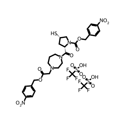 O=C(CN1CCCN(C(=O)[C@@H]2C[C@H](S)CN2C(=O)OCc2ccc([N+](=O)[O-])cc2)CC1)OCc1ccc([N+](=O)[O-])cc1.O=S(=O)(O)C(F)(F)F.O=S(=O)(O)C(F)(F)F